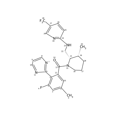 Cc1cc(F)c(-c2ncccn2)c(C(=O)N2CCC[C@@H](C)[C@H]2CNc2ccc(C(F)(F)F)cn2)c1